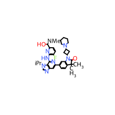 CNC(O)c1ccc(F)c(Nc2nc(-c3ccc4c(c3)N([C@H]3C[C@@H](N5CCCCC5)C3)C(=O)C4(C)C)cc3ncn(C(C)C)c23)n1